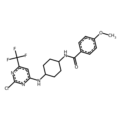 COc1ccc(C(=O)NC2CCC(Nc3cc(C(F)(F)F)nc(Cl)n3)CC2)cc1